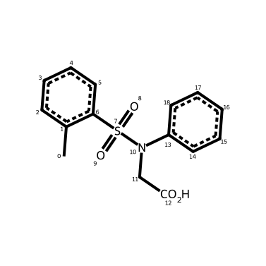 Cc1ccccc1S(=O)(=O)N(CC(=O)O)c1ccccc1